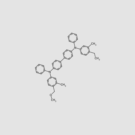 CCc1ccc(N(c2ccccc2)c2ccc(-c3ccc(N(c4ccccc4)c4ccc(COC)c(C)c4)cc3)cc2)cc1C